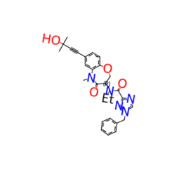 CCN(C(=O)c1ncn(Cc2ccccc2)n1)[C@@H]1COc2ccc(C#CC(C)(C)O)cc2N(C)C1=O